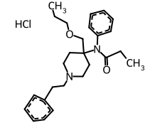 CCCOCC1(N(C(=O)CC)c2ccccc2)CCN(CCc2ccccc2)CC1.Cl